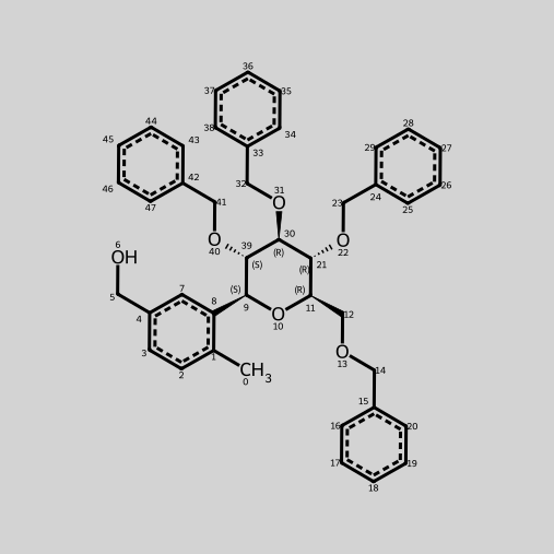 Cc1ccc(CO)cc1[C@@H]1O[C@H](COCc2ccccc2)[C@@H](OCc2ccccc2)[C@H](OCc2ccccc2)[C@H]1OCc1ccccc1